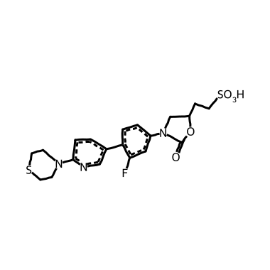 O=C1OC(CCS(=O)(=O)O)CN1c1ccc(-c2ccc(N3CCSCC3)nc2)c(F)c1